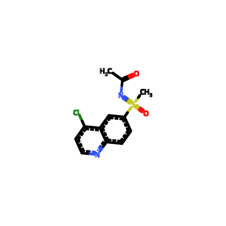 CC(=O)N=S(C)(=O)c1ccc2nccc(Cl)c2c1